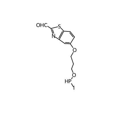 O=Cc1nc2cc(OCCCOPI)ccc2s1